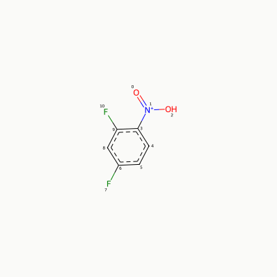 O=[N+](O)c1ccc(F)cc1F